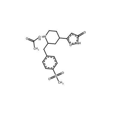 CC(=O)O.CS(=O)(=O)c1ccc(CC2CC(c3cc(=O)[nH]o3)CCN2)cc1